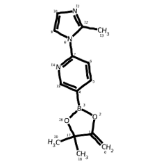 C=C1OB(c2ccc(-n3ccnc3C)nc2)OC1(C)C